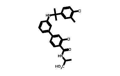 Cc1cc(C(C)(C)Nc2cccc(-c3ccc(C(=O)NC(C)C(=O)O)c(Cl)c3)c2)ccc1Cl